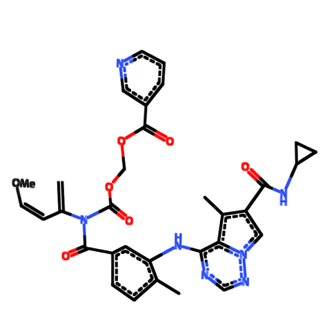 C=C(/C=C\OC)N(C(=O)OCOC(=O)c1cccnc1)C(=O)c1ccc(C)c(Nc2ncnn3cc(C(=O)NC4CC4)c(C)c23)c1